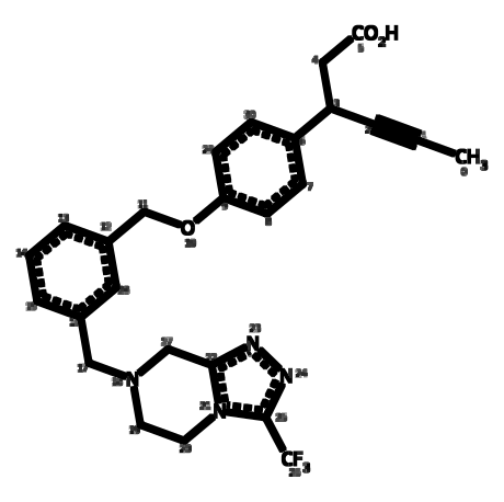 CC#CC(CC(=O)O)c1ccc(OCc2cccc(CN3CCn4c(nnc4C(F)(F)F)C3)c2)cc1